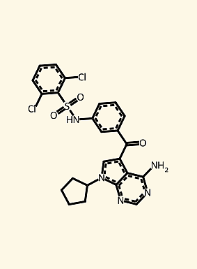 Nc1ncnc2c1c(C(=O)c1cccc(NS(=O)(=O)c3c(Cl)cccc3Cl)c1)cn2C1CCCC1